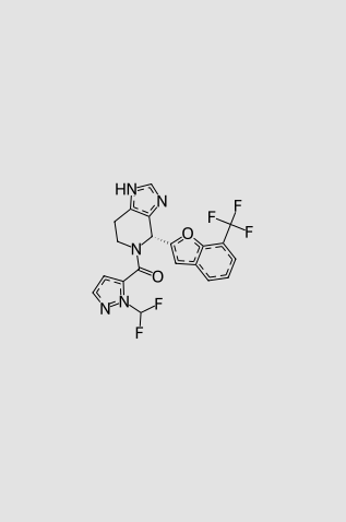 O=C(c1ccnn1C(F)F)N1CCc2[nH]cnc2[C@@H]1c1cc2cccc(C(F)(F)F)c2o1